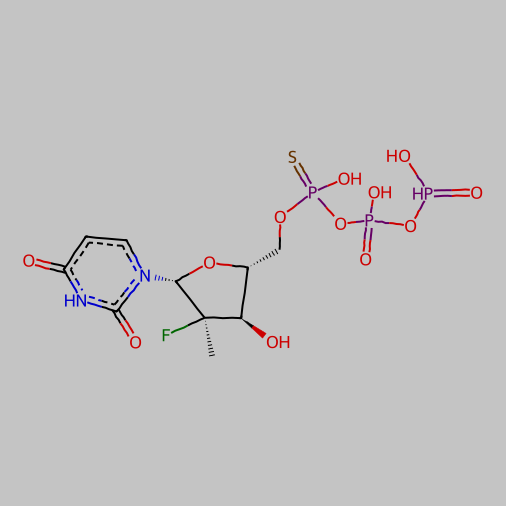 C[C@@]1(F)[C@H](O)[C@@H](COP(O)(=S)OP(=O)(O)O[PH](=O)O)O[C@H]1n1ccc(=O)[nH]c1=O